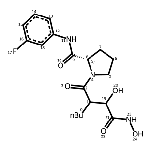 CCCCC(C(=O)N1CCC[C@H]1C(=O)Nc1cccc(F)c1)C(O)C(=O)NO